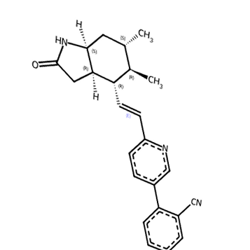 C[C@H]1[C@H](/C=C/c2ccc(-c3ccccc3C#N)cn2)[C@H]2CC(=O)N[C@H]2C[C@@H]1C